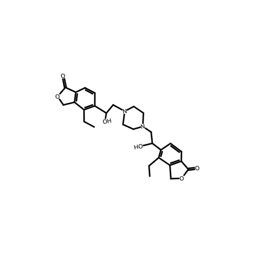 CCc1c(C(O)CN2CCN(CC(O)c3ccc4c(c3CC)COC4=O)CC2)ccc2c1COC2=O